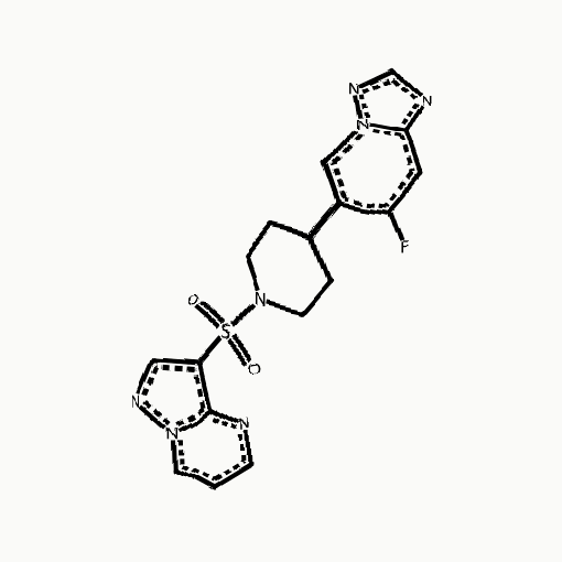 O=S(=O)(c1cnn2cccnc12)N1CCC(c2cn3ncnc3cc2F)CC1